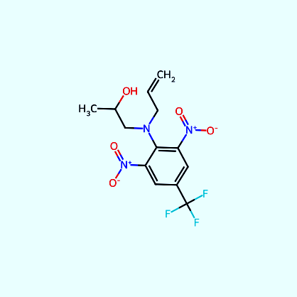 C=CCN(CC(C)O)c1c([N+](=O)[O-])cc(C(F)(F)F)cc1[N+](=O)[O-]